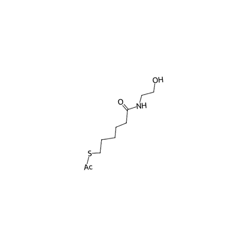 CC(=O)SCCCCCC(=O)NCCO